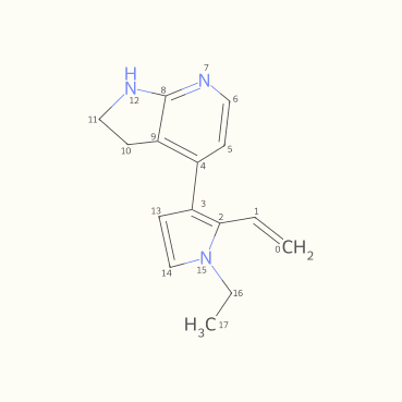 C=Cc1c(-c2ccnc3c2CCN3)ccn1CC